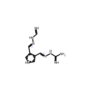 N=CN/N=C/c1c[nH]cc1/C=N/NC(=N)N